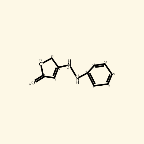 O=C1C=C(NNc2ccccc2)CO1